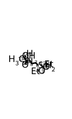 CCOC(OCC)[SiH2]CCCNC(=O)C(C)O